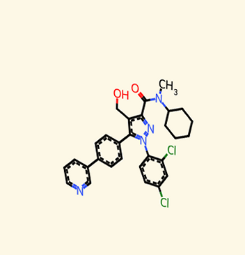 CN(C(=O)c1nn(-c2ccc(Cl)cc2Cl)c(-c2ccc(-c3cccnc3)cc2)c1CO)C1CCCCC1